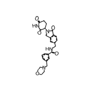 O=C1CCC(N2Cc3cc(CNC(=O)c4cccc(CN5CCOCC5)c4)ccc3C2=O)C(=O)N1